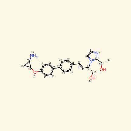 C[C@H](O)c1nccn1[C@@H](/C=C/c1ccc(-c2ccc(OC3CC3N)cc2)cc1)CO